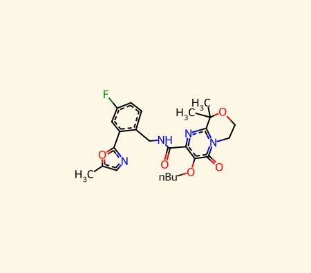 CCCCOc1c(C(=O)NCc2ccc(F)cc2-c2ncc(C)o2)nc2n(c1=O)CCOC2(C)C